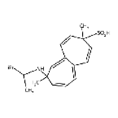 CC(C)C(C)NC1(C)C=CC=C2C=CC(C)(S(=O)(=O)O)C=CC2=C1